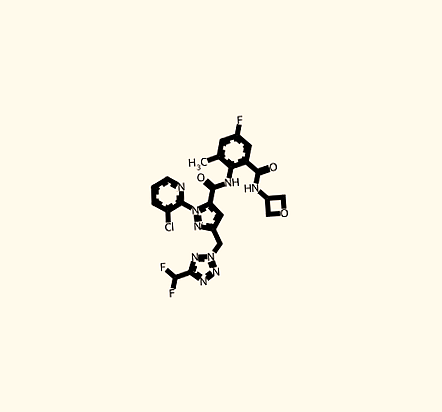 Cc1cc(F)cc(C(=O)NC2COC2)c1NC(=O)c1cc(Cn2nnc(C(F)F)n2)nn1-c1ncccc1Cl